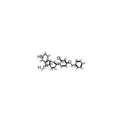 Cn1c2c(c3cc(-n4ccc(OCc5ccccc5)cc4=O)ccc31)CCNC2